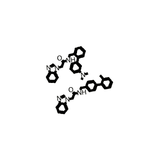 CN(C)c1cccc(-c2ccccc2CNC(=O)Cn2cnc3ccccc32)c1.Cc1ccccc1-c1ccc(CNC(=O)Cn2cnc3ccccc32)cc1